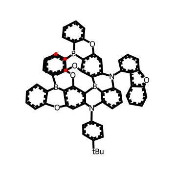 CC(C)(C)c1ccc(N2c3cccc4c3B(c3c2cc2c5c3Oc3ccccc3B5c3ccccc3O2)c2c(cc3c5c2Oc2ccccc2B5c2ccccc2O3)N4c2cccc3oc4ccccc4c23)cc1